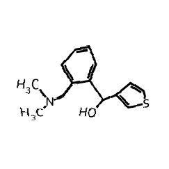 CN(C)Cc1ccccc1C(O)c1ccsc1